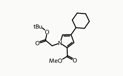 COC(=O)c1cc(C2CCCCC2)cn1CC(=O)OC(C)(C)C